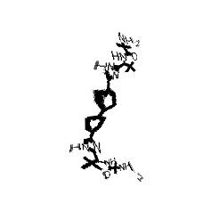 CC(C)(N)C(=O)N[C@H](c1nc(-c2ccc(-c3ccc(-c4c[nH]c([C@@H](NC(=O)C(C)(C)N)C(C)(C)C)n4)cc3)cc2)c[nH]1)C(C)(C)C